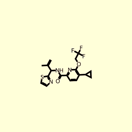 C=C(C)C(NC(=O)c1ccc(C2CC2)c(OCC(F)(F)F)n1)c1nccs1